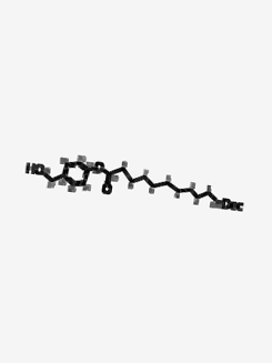 CCCCCCCCCCCCCCCCCCCC(=O)Oc1ccc(CO)cc1